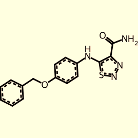 NC(=O)c1nnsc1Nc1ccc(OCc2ccccc2)cc1